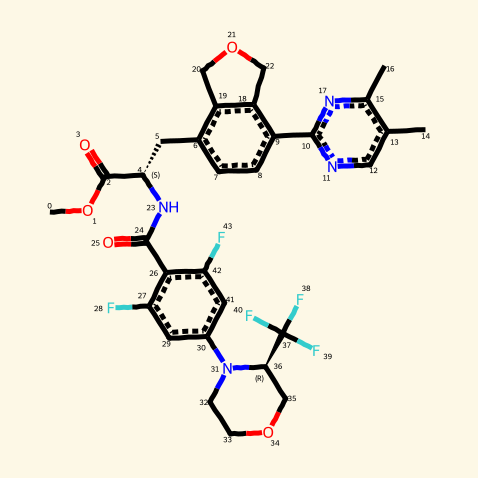 COC(=O)[C@H](Cc1ccc(-c2ncc(C)c(C)n2)c2c1COC2)NC(=O)c1c(F)cc(N2CCOC[C@@H]2C(F)(F)F)cc1F